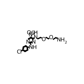 NCCOCCOCCNc1nc(Nc2ccc(Cl)cc2)ncc1[N+](=O)[O-]